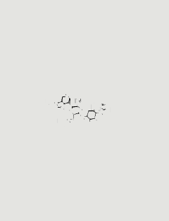 CNc1nc(Nc2ccc(N=S(C)(C)=O)c(F)c2F)c(C(N)=O)nc1-c1cncc2c1ncn2C